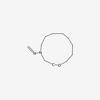 C=NN1CCCCCCCCOCC1